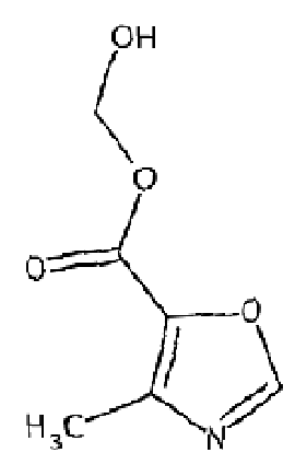 Cc1ncoc1C(=O)OCO